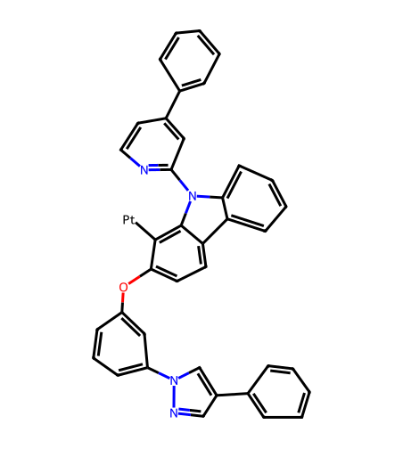 [Pt][c]1c(Oc2cccc(-n3cc(-c4ccccc4)cn3)c2)ccc2c3ccccc3n(-c3cc(-c4ccccc4)ccn3)c12